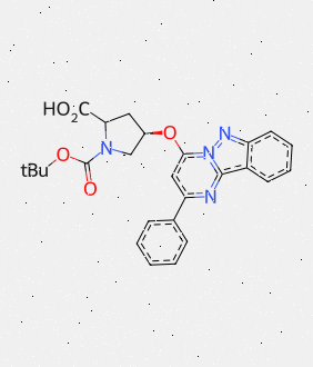 CC(C)(C)OC(=O)N1C[C@H](Oc2cc(-c3ccccc3)nc3c4ccccc4nn23)CC1C(=O)O